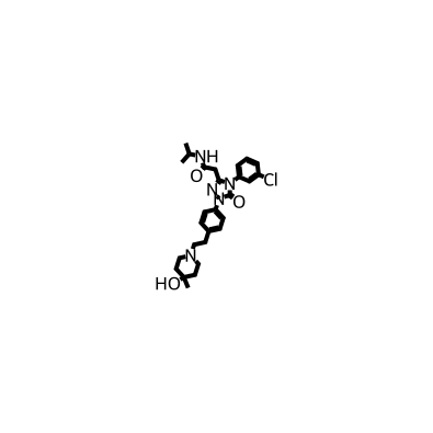 CC(C)NC(=O)Cc1nn(-c2ccc(CCN3CCC(C)(O)CC3)cc2)c(=O)n1-c1cccc(Cl)c1